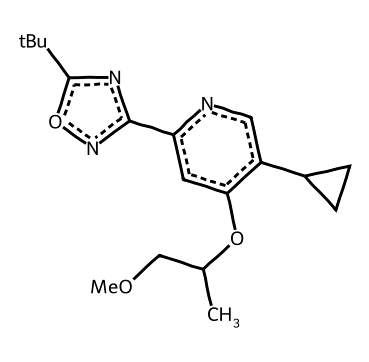 COCC(C)Oc1cc(-c2noc(C(C)(C)C)n2)ncc1C1CC1